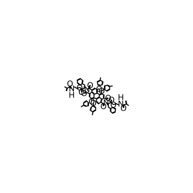 C=C(C)C(=O)NCCOC(=O)C(Cc1ccccc1)N1C(=O)c2cc(Oc3ccc(C)cc3)c3c4c(Oc5ccc(C)cc5)cc5c6c(cc(Oc7ccc(C)cc7)c(c7c(Oc8ccc(C)cc8)cc(c2c37)C1=O)c64)C(=O)N(C(Cc1ccccc1)C(=O)OCCNC(=O)C(=C)C)C5=O